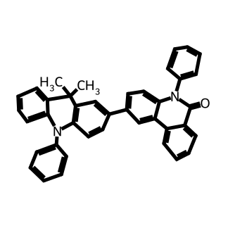 CC1(C)c2ccccc2N(c2ccccc2)c2ccc(-c3ccc4c(c3)c3ccccc3c(=O)n4-c3ccccc3)cc21